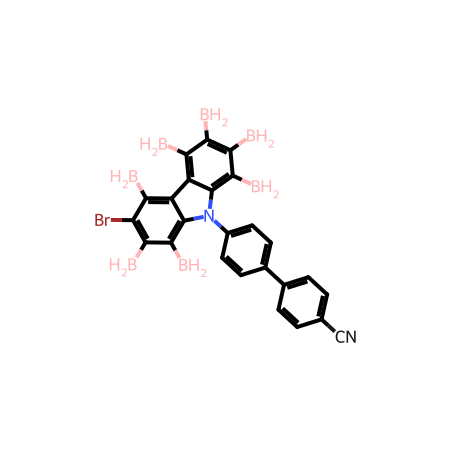 Bc1c(B)c(B)c2c(c1B)c1c(B)c(Br)c(B)c(B)c1n2-c1ccc(-c2ccc(C#N)cc2)cc1